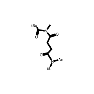 CCN(C(C)=O)C(=O)CCC(=O)N(C)C(=O)C(C)(C)C